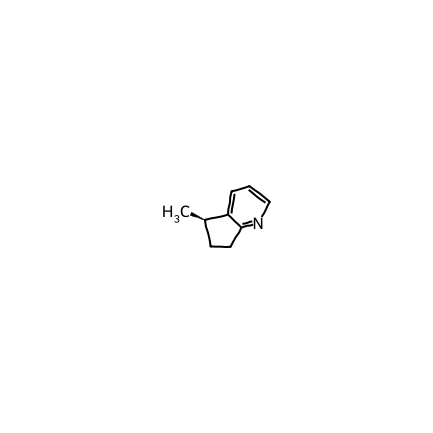 C[C@@H]1CCc2ncccc21